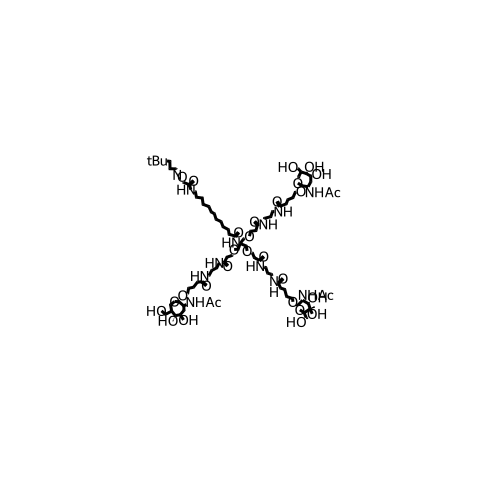 CC(=O)NC1CC(O)[C@H](O)C(CO)CO[C@@H]1OCCCCC(=O)NCCCNC(=O)CCOCC(COCCC(=O)NCCCNC(=O)CCCCO[C@H]1OCC(CO)[C@@H](O)C(O)CC1NC(C)=O)(COCCC(=O)NCCCNC(=O)CCCCO[C@H]1OC(CO)[C@@](C)(O)[C@@H](O)C1NC(C)=O)NC(=O)CCCCCCCCCCCCNC(=O)CON=CCCC(C)(C)C